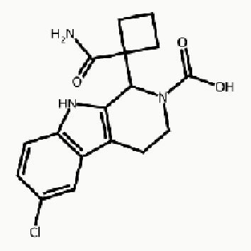 NC(=O)C1(C2c3[nH]c4ccc(Cl)cc4c3CCN2C(=O)O)CCC1